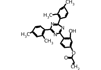 C=CC(=O)Oc1ccc(-c2nc(-c3ccc(C)cc3C)nc(-c3ccc(C)cc3C)n2)c(O)c1